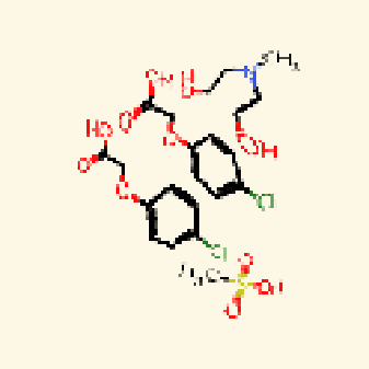 CN(CCO)CCO.CS(=O)(=O)O.O=C(O)COc1ccc(Cl)cc1.O=C(O)COc1ccc(Cl)cc1